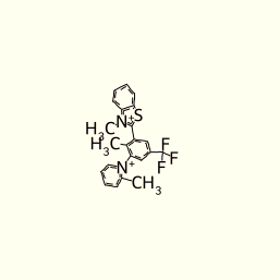 Cc1c(-c2sc3ccccc3[n+]2C)cc(C(F)(F)F)cc1-[n+]1ccccc1C